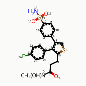 CN(O)C(=O)CCc1scc(-c2ccc(S(N)(=O)=O)cc2)c1-c1ccc(F)cc1